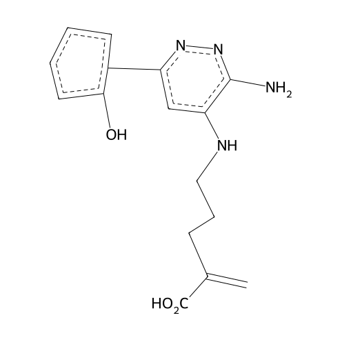 C=C(CCCNc1cc(-c2ccccc2O)nnc1N)C(=O)O